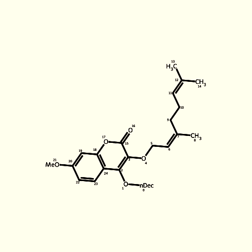 CCCCCCCCCCOc1c(OCC=C(C)CCC=C(C)C)c(=O)oc2cc(OC)ccc12